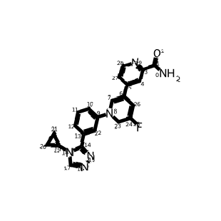 NC(=O)c1cc(C2=CN(c3cccc(-c4nncn4C4CC4)c3)CC(F)=C2)ccn1